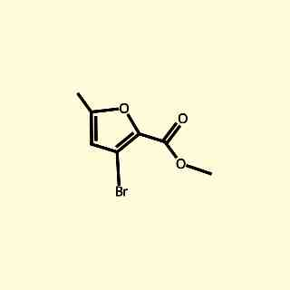 COC(=O)c1oc(C)cc1Br